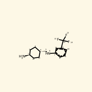 N[C@H]1CC[C@H](CNc2cccc(C(F)(F)F)c2)CC1